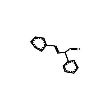 O=PC(C=Cc1ccccc1)c1ccccc1